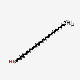 C.CCCCCCCCCCCCCCCCCCCCCCCCCCCCCCCCO